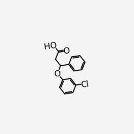 O=C(O)CC(Oc1cccc(Cl)c1)c1ccccc1